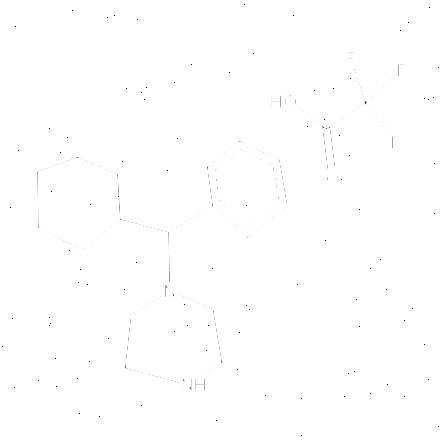 O=C(O)C(F)(F)F.c1ccc(C(C2CCCCC2)N2CCNCC2)cc1